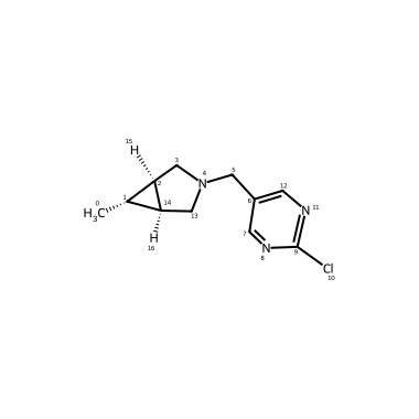 C[C@@H]1[C@H]2CN(Cc3cnc(Cl)nc3)C[C@@H]12